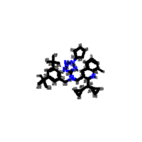 Cc1cccc2cc(CN(Cc3cc(C(C)(C)C)cc(C(C)(C)C)c3)c3nnn(C4CCCC4)n3)c([C](C3CC3)C3CC3)nc12